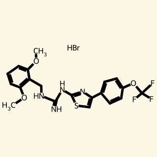 Br.COc1cccc(OC)c1CNC(=N)Nc1nc(-c2ccc(OC(F)(F)F)cc2)cs1